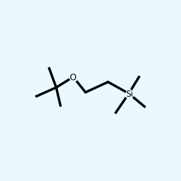 CC(C)(C)OCC[Si](C)(C)C